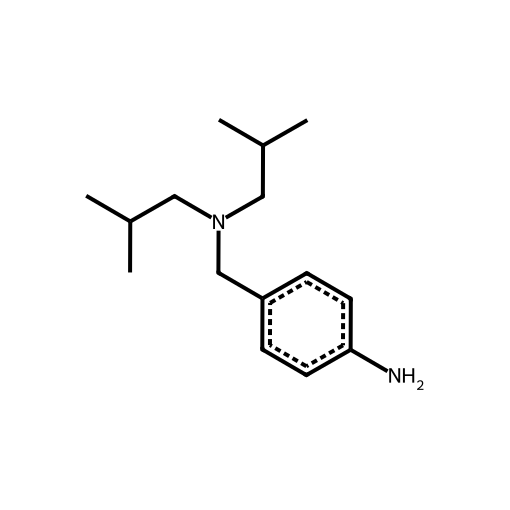 CC(C)CN(Cc1ccc(N)cc1)CC(C)C